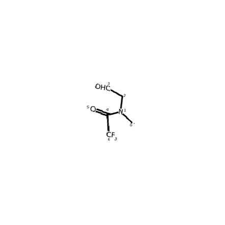 [CH2]N(CC=O)C(=O)C(F)(F)F